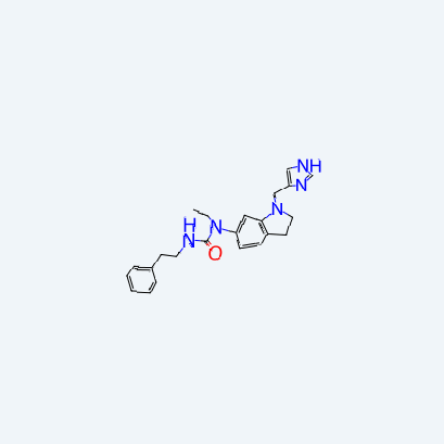 CCN(C(=O)NCCc1ccccc1)c1ccc2c(c1)N(Cc1c[nH]cn1)CC2